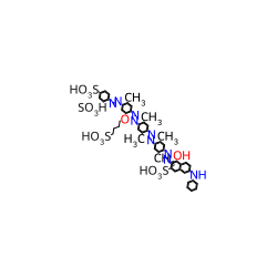 Cc1cc(N=Nc2cc(C)c(N=Nc3ccc(S(=O)(=O)O)cc3S(=O)(=O)O)cc2OCCCCS(=O)(=O)O)c(C)cc1N=Nc1cc(C)c(N=Nc2c(S(=O)(=O)O)cc3cc(Nc4ccccc4)ccc3c2O)cc1C